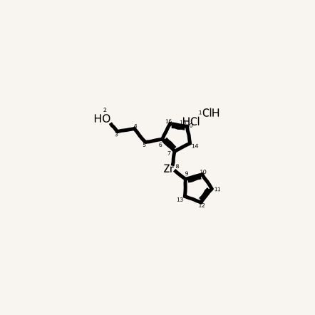 Cl.Cl.OCCCC1=[C]([Zr][C]2=CC=CC2)CC=C1